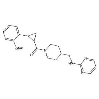 COc1ccccc1C1CC1C(=O)N1CCC(CNc2ncccn2)CC1